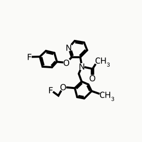 CC(=O)N(Cc1cc(C)ccc1OCF)c1cccnc1Oc1ccc(F)cc1